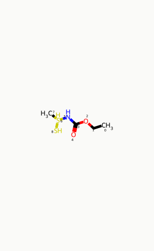 CCOC(=O)N[SH](C)S